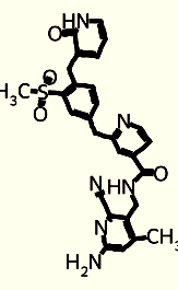 Cc1cc(N)nc(C#N)c1CNC(=O)c1ccnc(Cc2ccc(Cc3ccc[nH]c3=O)c(S(C)(=O)=O)c2)c1